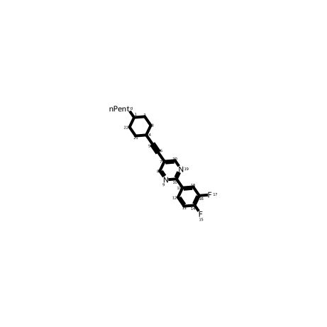 CCCCCC1CCC(C#Cc2cnc(-c3ccc(F)c(F)c3)nc2)CC1